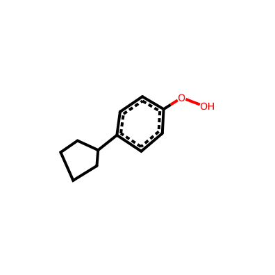 OOc1ccc(C2CCCC2)cc1